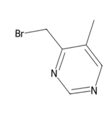 Cc1cncnc1CBr